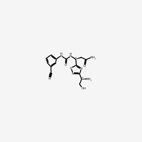 N#Cc1cccc(NC(=O)N[C@@H](CC(N)=O)c2nc([C@@H](N)CO)no2)c1